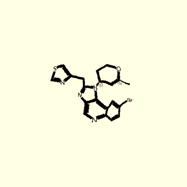 C[C@H]1C[C@@H](n2c(Cc3cscn3)nc3cnc4ccc(Br)cc4c32)CCO1